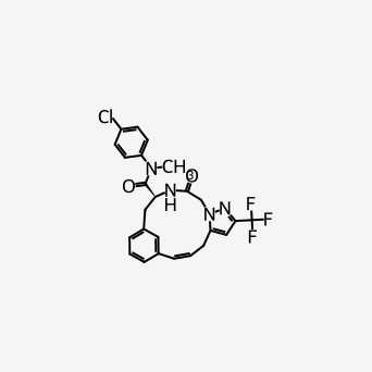 CN(C(=O)[C@@H]1Cc2cccc(c2)C=CCc2cc(C(F)(F)F)nn2CC(=O)N1)c1ccc(Cl)cc1